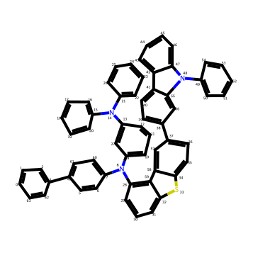 c1ccc(-c2ccc(N(c3cccc(N(c4ccccc4)c4ccccc4)c3)c3cccc4sc5ccc(-c6ccc7c8ccccc8n(-c8ccccc8)c7c6)cc5c34)cc2)cc1